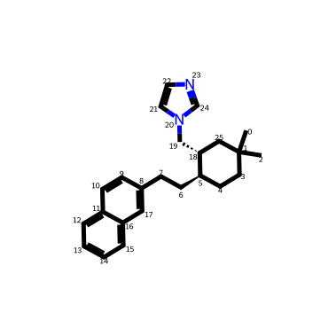 CC1(C)CC[C@@H](CCc2ccc3ccccc3c2)[C@H](Cn2ccnc2)C1